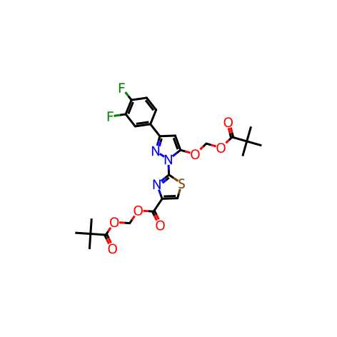 CC(C)(C)C(=O)OCOC(=O)c1csc(-n2nc(-c3ccc(F)c(F)c3)cc2OCOC(=O)C(C)(C)C)n1